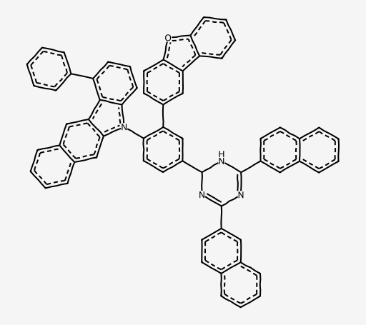 c1ccc(-c2cccc3c2c2cc4ccccc4cc2n3-c2ccc(C3N=C(c4ccc5ccccc5c4)N=C(c4ccc5ccccc5c4)N3)cc2-c2ccc3oc4ccccc4c3c2)cc1